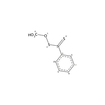 O=C(O)OSC(=S)c1ccccc1